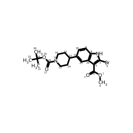 COC(=O)c1c(Br)[nH]c2ccc(C3CCN(C(=O)OC(C)(C)C)CC3)cc12